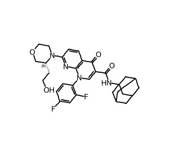 O=C(NC12CC3CC(CC(C3)C1)C2)c1cn(-c2ccc(F)cc2F)c2nc(N3CCOC[C@H]3CCO)ccc2c1=O